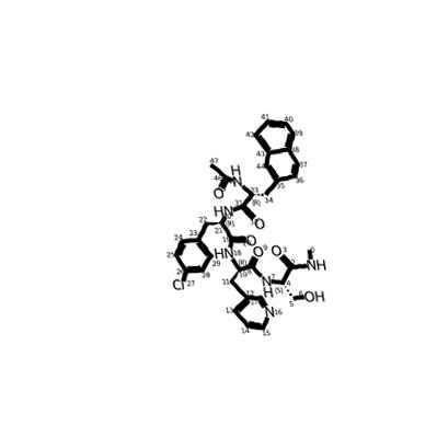 CNC(=O)[C@H](CO)NC(=O)[C@@H](Cc1cccnc1)NC(=O)[C@@H](Cc1ccc(Cl)cc1)NC(=O)[C@@H](Cc1ccc2ccccc2c1)NC(C)=O